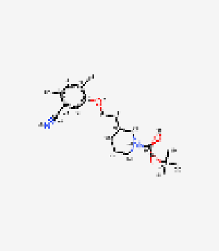 Cc1cc(C)c(OCCC2CCCN(C(=O)OC(C)(C)C)C2)cc1C#N